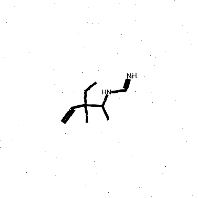 C=CC(C)(CC)C(C)NC=N